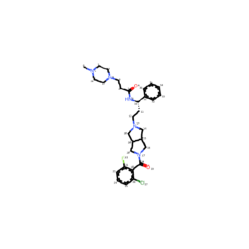 CN1CCN(CCC(=O)N[C@@H](CCN2CC3CN(C(=O)c4c(F)cccc4Cl)CC3C2)c2ccccc2)CC1